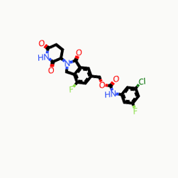 O=C1CCC(N2Cc3c(F)cc(COC(=O)Nc4cc(F)cc(Cl)c4)cc3C2=O)C(=O)N1